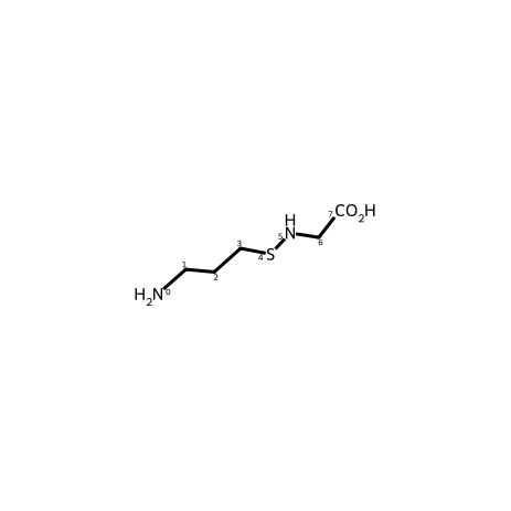 NCCCSNCC(=O)O